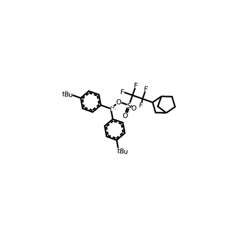 CC(C)(C)c1ccc([I+](OS(=O)(=O)C(F)(F)C(F)(F)C2CC3CCC2C3)c2ccc(C(C)(C)C)cc2)cc1